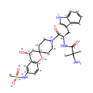 CC(C)(N)C(=O)N[C@H](Cc1c[nH]c2ccccc12)C(=O)N1CCC2(CC1)C[C@H](O)c1cc(NS(C)(=O)=O)ccc1O2